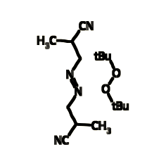 CC(C#N)CN=NCC(C)C#N.CC(C)(C)OOC(C)(C)C